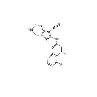 C[C@@H](CC(=O)Nc1sc2c(c1C#N)CCNC2)c1ccccc1F